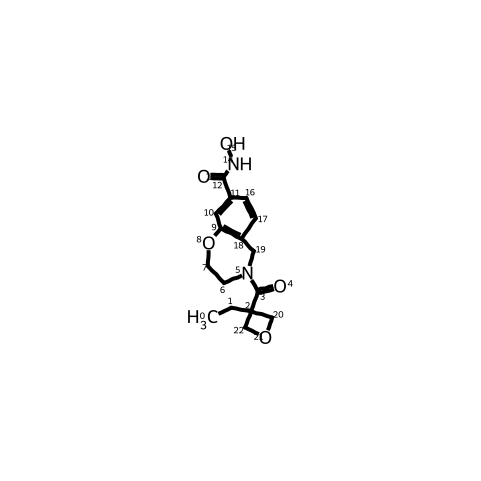 CCC1(C(=O)N2CCOc3cc(C(=O)NO)ccc3C2)COC1